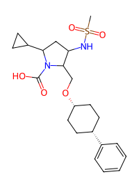 CS(=O)(=O)NC1CC(C2CC2)N(C(=O)O)C1CO[C@H]1CC[C@@H](c2ccccc2)CC1